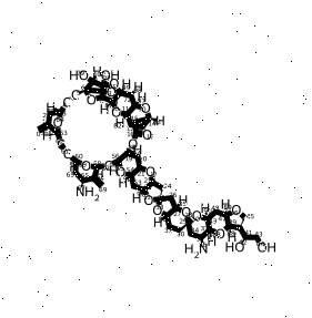 C=C1C[C@@H]2CC[C@]34OC5[C@@H]6O[C@H]7CC[C@H](CC(=O)O[C@@H]8CC9OC%10C[C@@]%11(C[C@@H]%12O[C@@]%13(CC[C@@H]%12O%11)C[C@H](N)[C@@H]%11O[C@@H]%12[C@@H]([C@@H](O)CO)CO[C@@H]%12C[C@@H]%11O%13)O[C@@H]%10C[C@@H]9O[C@H]8C[C@H]8O[C@@H](CC[C@@H]1O2)C[C@@H](N)C8=C)O[C@@H]7[C@H](O3)[C@@H]6OC5(O)[C@H]4O